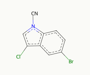 N#Cn1cc(Cl)c2cc(Br)ccc21